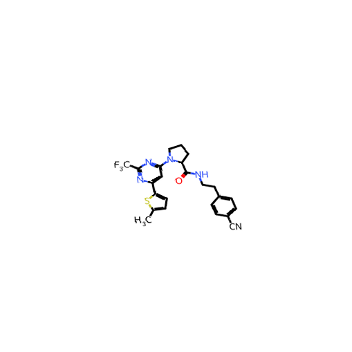 Cc1ccc(-c2cc(N3CCCC3C(=O)NCCc3ccc(C#N)cc3)nc(C(F)(F)F)n2)s1